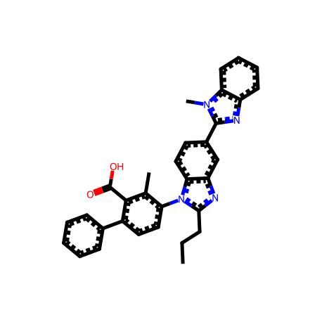 CCCc1nc2cc(-c3nc4ccccc4n3C)ccc2n1-c1ccc(-c2ccccc2)c(C(=O)O)c1C